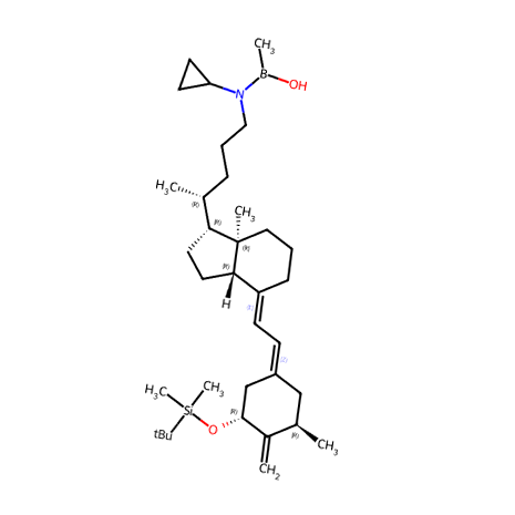 C=C1[C@H](C)C/C(=C/C=C2\CCC[C@]3(C)[C@@H]([C@H](C)CCCN(B(C)O)C4CC4)CC[C@@H]23)C[C@H]1O[Si](C)(C)C(C)(C)C